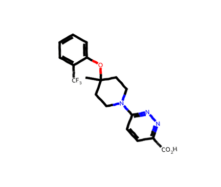 CC1(Oc2ccccc2C(F)(F)F)CCN(c2ccc(C(=O)O)nn2)CC1